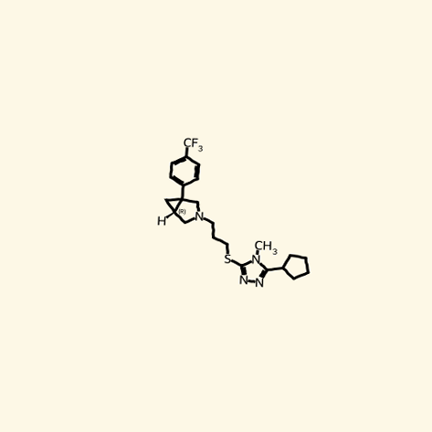 Cn1c(SCCCN2C[C@@H]3CC3(c3ccc(C(F)(F)F)cc3)C2)nnc1C1CCCC1